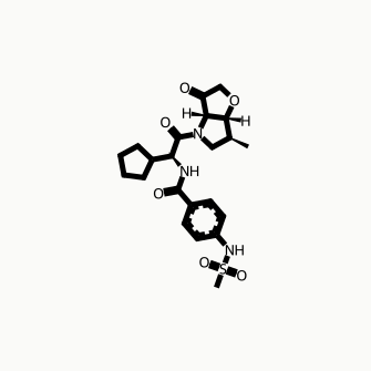 C[C@H]1CN(C(=O)[C@@H](NC(=O)c2ccc(NS(C)(=O)=O)cc2)C2CCCC2)[C@@H]2C(=O)CO[C@@H]21